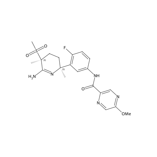 COc1cnc(C(=O)Nc2ccc(F)c([C@]3(C)CC[C@](C)(S(C)(=O)=O)C(N)=N3)c2)cn1